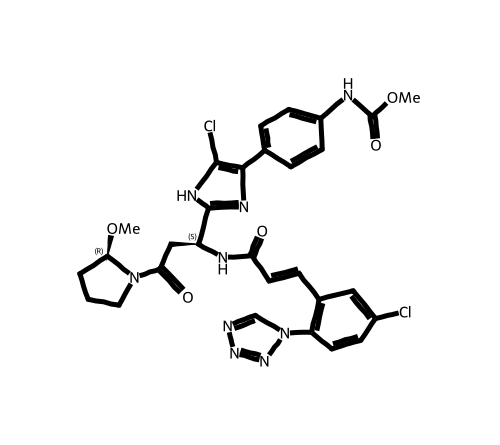 COC(=O)Nc1ccc(-c2nc([C@H](CC(=O)N3CCC[C@H]3OC)NC(=O)C=Cc3cc(Cl)ccc3-n3cnnn3)[nH]c2Cl)cc1